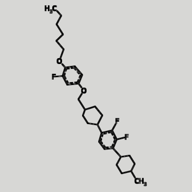 CCCCCCOc1ccc(OCC2CCC(c3ccc(C4CCC(C)CC4)c(F)c3F)CC2)cc1F